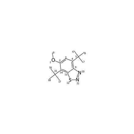 COc1cc(C(C)(C)C)c2nnsc2c1C(C)(C)C